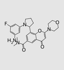 CN(C)C(=O)c1cc(C2CCCN2c2cc(N)cc(F)c2)c2oc(N3CCOCC3)cc(=O)c2c1